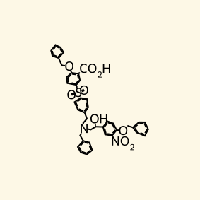 O=C(O)c1cc(S(=O)(=O)c2ccc(CCN(Cc3ccccc3)C[C@@H](O)c3ccc(OCc4ccccc4)c([N+](=O)[O-])c3)cc2)ccc1OCc1ccccc1